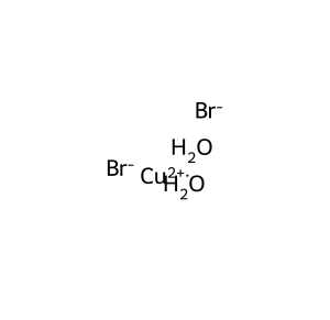 O.O.[Br-].[Br-].[Cu+2]